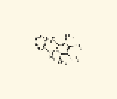 Cc1c(C)c(C)c([SiH2]c2ccccc2)c(C)c1C